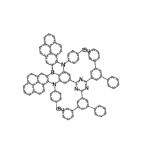 CC(C)(C)c1ccc(N2c3cc(-c4nc(-c5cc(-c6ccccc6)cc(-c6ccccc6)c5)nc(-c5cc(-c6ccccc6)cc(-c6ccccc6)c5)n4)cc4c3B(c3cc5ccc6cccc7ccc(c32)c5c67)c2cc3ccc5cccc6ccc(c2N4c2ccc(C(C)(C)C)cc2)c3c56)cc1